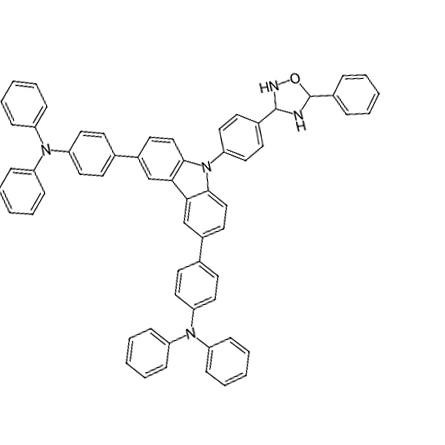 c1ccc(C2NC(c3ccc(-n4c5ccc(-c6ccc(N(c7ccccc7)c7ccccc7)cc6)cc5c5cc(-c6ccc(N(c7ccccc7)c7ccccc7)cc6)ccc54)cc3)NO2)cc1